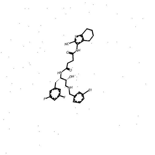 CCc1cccc(CNC[C@@H](O)[C@H](Cc2cc(F)cc(F)c2)NC(=O)CCC(=O)Nc2c(C#N)sc3c2CCCC3)c1